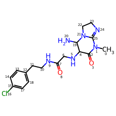 CN1C(=O)C(NCC(=O)NCCc2ccc(Cl)cc2)C(N)N2CCN=C12